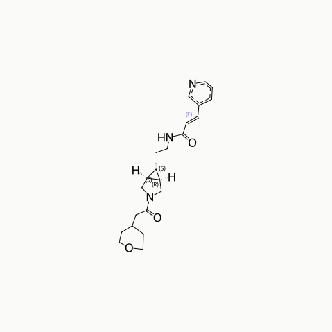 O=C(/C=C/c1cccnc1)NCC[C@@H]1[C@H]2CN(C(=O)CC3CCOCC3)C[C@@H]12